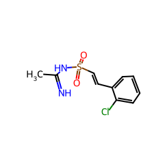 CC(=N)NS(=O)(=O)C=Cc1ccccc1Cl